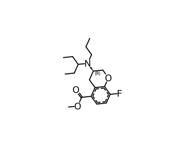 CCCN(C(CC)CC)[C@H]1COc2c(F)ccc(C(=O)OC)c2C1